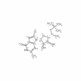 C=P(C)(C)CC(C)[C@H]1O[C@@H](n2c(Cl)nc3c(=O)[nH]c(C)nc32)[C@H](O)[C@@H]1O